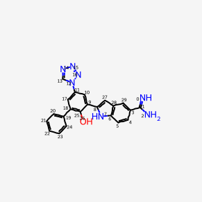 N=C(N)c1ccc2[nH]c(-c3cc(-n4cnnn4)cc(-c4ccccc4)c3O)cc2c1